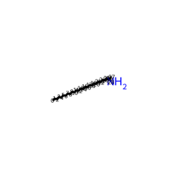 CCCCCCCCCCCCCCCCCCCCCCCCCCC(C)N